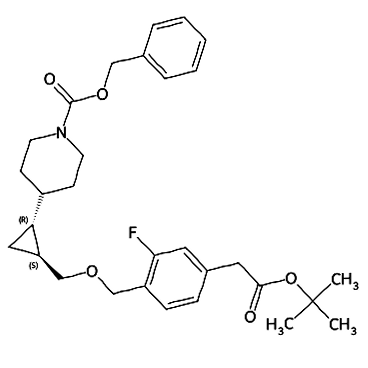 CC(C)(C)OC(=O)Cc1ccc(COC[C@H]2C[C@@H]2C2CCN(C(=O)OCc3ccccc3)CC2)c(F)c1